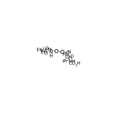 CCN(CC)[C@@H](C)C(=O)N1CCC[C@H]1c1ncc(-c2ccc(-c3ccc(-c4cnc([C@@H]5CCCN5C(=O)[C@@H](NC(=O)O)C(C)C)[nH]4)cc3)cc2)[nH]1